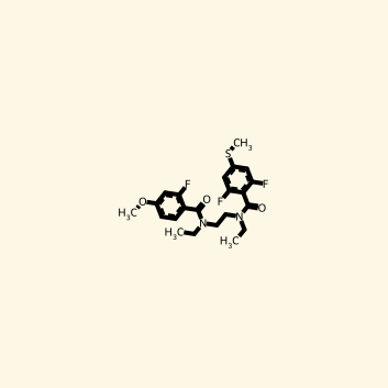 CCN(CCN(CC)C(=O)c1c(F)cc(SC)cc1F)C(=O)c1ccc(OC)cc1F